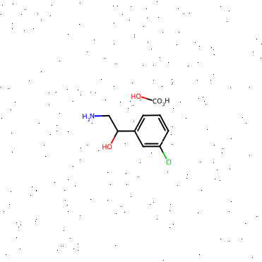 NCC(O)c1cccc(Cl)c1.O=C(O)O